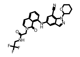 N#Cc1cc(Nc2cccc3ccn(CC(=O)NCC(F)(F)F)c(=O)c23)cc2cnn(C3CCCCO3)c12